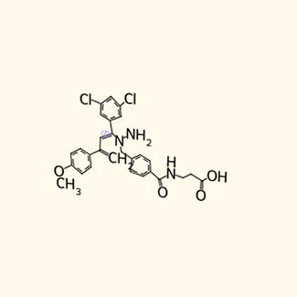 C=C(/C=C(/c1cc(Cl)cc(Cl)c1)N(N)Cc1ccc(C(=O)NCCC(=O)O)cc1)c1ccc(OC)cc1